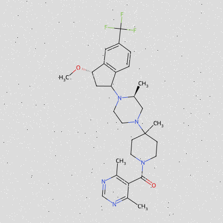 CO[C@H]1CC(N2CCN(C3(C)CCN(C(=O)c4c(C)ncnc4C)CC3)C[C@@H]2C)c2ccc(C(F)(F)F)cc21